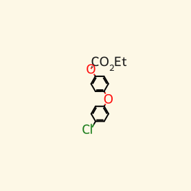 CCOC(=O)Oc1ccc(Oc2ccc(Cl)cc2)cc1